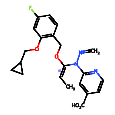 C=NN(/C(=C\C)OCc1ccc(F)cc1OCC1CC1)c1cc(C(=O)O)ccn1